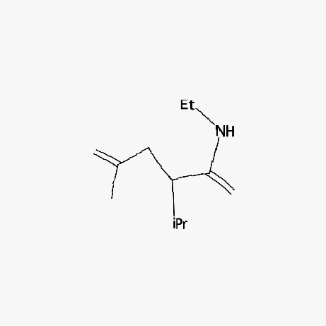 C=C(C)CC(C(=C)NCC)C(C)C